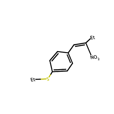 CCSc1ccc(C=C(CC)[N+](=O)[O-])cc1